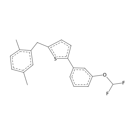 Cc1ccc(C)c(Cc2ccc(-c3cccc(OC(F)F)c3)s2)c1